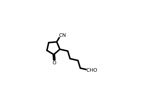 N#CC1CCC(=O)C1CCCCC=O